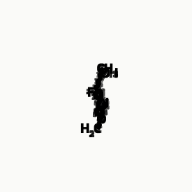 C=CCOc1ccc2cc(-c3ccc(C=CCCCC(C)O)c(F)c3)ncc2c1